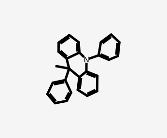 CC1(c2ccccc2)c2ccccc2N(c2ccccc2)c2ccccc21